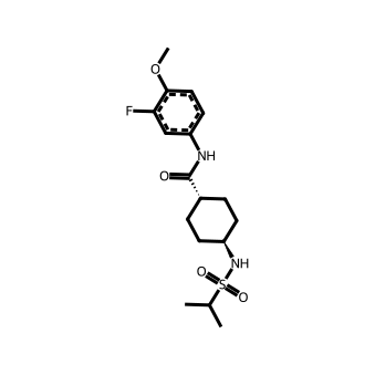 COc1ccc(NC(=O)[C@H]2CC[C@H](NS(=O)(=O)C(C)C)CC2)cc1F